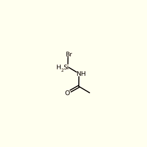 CC(=O)N[SiH2]Br